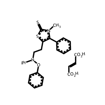 CC(C)N(CCc1sc(=S)n(C)c1-c1ccccc1)Oc1ccccc1.O=C(O)C=CC(=O)O